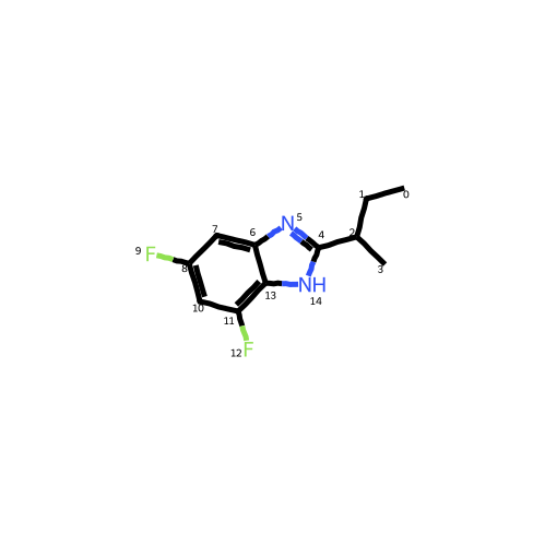 CCC(C)c1nc2cc(F)cc(F)c2[nH]1